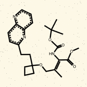 COC(=O)C(NC(=O)OC(C)(C)C)=C(C)COC1(CCc2ccc3ncccc3n2)CCC1